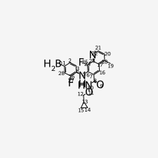 Bc1ccc(Nc2c(C(=O)NOCC3CC3)cc3c(C)ccnc3c2F)c(F)c1